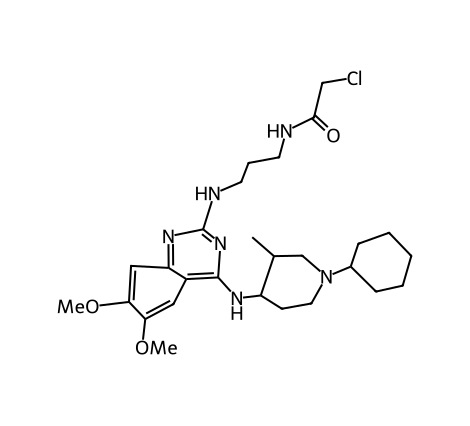 COc1cc2nc(NCCCNC(=O)CCl)nc(NC3CCN(C4CCCCC4)CC3C)c2cc1OC